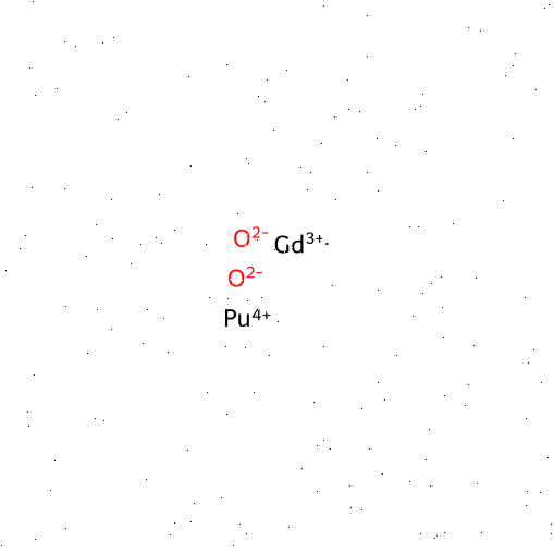 [Gd+3].[O-2].[O-2].[Pu+4]